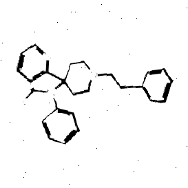 CCC(=O)N(c1ccccc1)C1(c2ccccn2)CCN(CCc2ccccc2)CC1